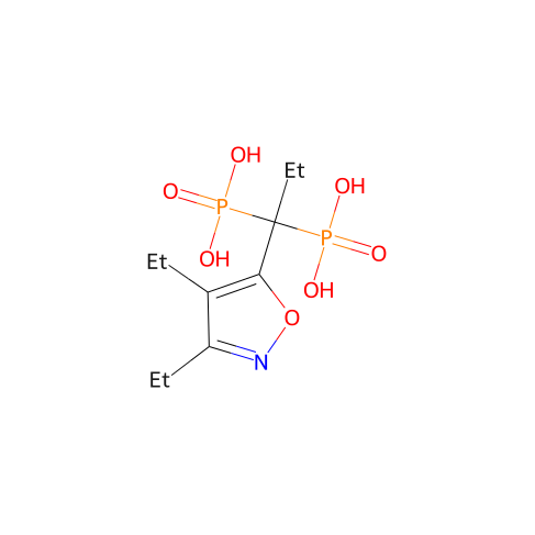 CCc1noc(C(CC)(P(=O)(O)O)P(=O)(O)O)c1CC